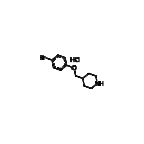 Brc1ccc(OCC2CCNCC2)cc1.Cl